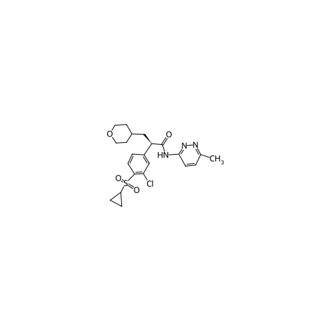 Cc1ccc(NC(=O)[C@H](CC2CCOCC2)c2ccc(S(=O)(=O)C3CC3)c(Cl)c2)nn1